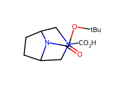 CC(C)(C)OC(=O)N1C2CCC1CN(C(=O)O)C2